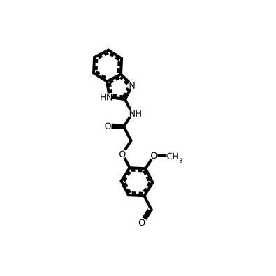 COc1cc(C=O)ccc1OCC(=O)Nc1nc2ccccc2[nH]1